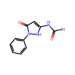 CCC(=O)Nc1cc(=O)n(-c2ccccc2)[nH]1